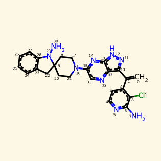 C=C(c1ccnc(N)c1Cl)c1n[nH]c2nc(N3CCC4(CC3)Cc3ccccc3N4N)cnc12